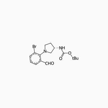 CC(C)(C)OC(=O)N[C@H]1CCN(c2c(Br)cccc2C=O)C1